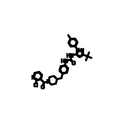 Cc1ccc(-n2nc(C(C)(C)C)cc2NC(=O)Nc2ccc(CC3CCN(C(=O)c4cccnc4Cl)CC3)cc2)cc1